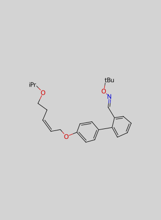 CC(C)OCC/C=C\COc1ccc(-c2ccccc2/C=N/OC(C)(C)C)cc1